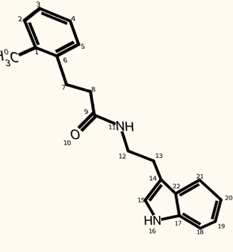 Cc1ccccc1CCC(=O)NCCc1c[nH]c2ccccc12